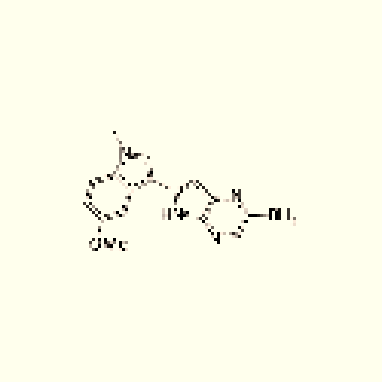 Bc1cnc2[nH]c(-c3cn(C)c4ccc(OC)cc34)cc2n1